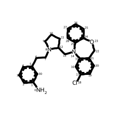 Nc1cccc(CCN2CCCC2CN2c3cc(Cl)ccc3COc3ccccc32)c1